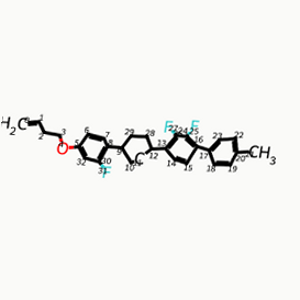 C=CCCOc1ccc(C2CCC(c3ccc(-c4ccc(C)cc4)c(F)c3F)CC2)c(F)c1